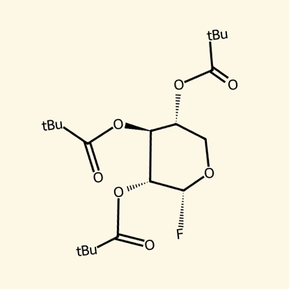 CC(C)(C)C(=O)O[C@@H]1[C@@H](OC(=O)C(C)(C)C)[C@H](OC(=O)C(C)(C)C)CO[C@@H]1F